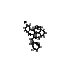 O=c1c2cc(F)ccc2nc(NCc2ccccn2)n1-c1ccccc1Cl